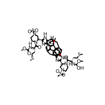 COC(=O)N[C@@H](CCSC)C(=O)N1CCN(S(C)(=O)=O)C[C@H]1c1nc2cc(-c3cc4ccc3C[C@@H](C)c3ccc(c(-c5ccc6[nH]c([C@@H]7CN(S(C)(=O)=O)CCN7C(=O)[C@H](CCSC)NC(O)OC)nc6c5)c3)CC4)ccc2[nH]1